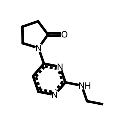 CCNc1nccc(N2CCCC2=O)n1